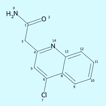 NC(=O)Cc1cc(Cl)c2ccccc2n1